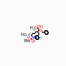 CC(O)C(OCc1ccccc1)C(CCCC(NC(=O)OC(C)(C)C)C(=O)O)Cc1ccc(F)cc1F